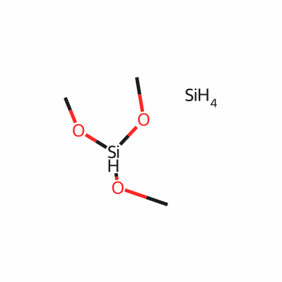 CO[SiH](OC)OC.[SiH4]